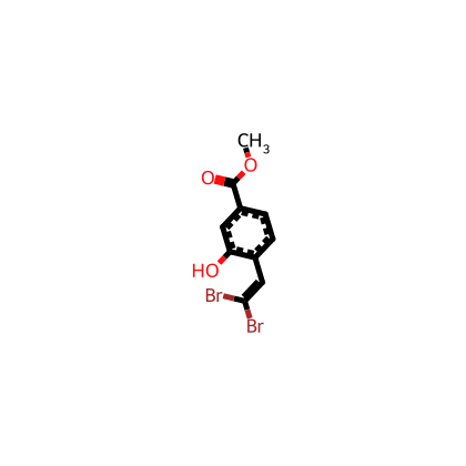 COC(=O)c1ccc(C=C(Br)Br)c(O)c1